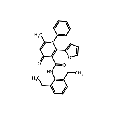 CCc1cccc(CC)c1NC(=O)c1c(-c2ccco2)n(-c2ccccc2)c(C)cc1=O